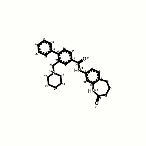 O=C1CCCc2ccc(NC(=O)c3ccc(-c4ccccc4)c(CN4CCCCC4)c3)cc2N1